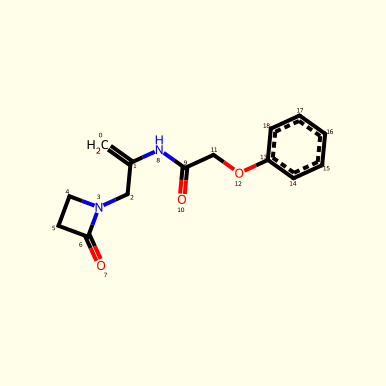 C=C(CN1CCC1=O)NC(=O)COc1ccccc1